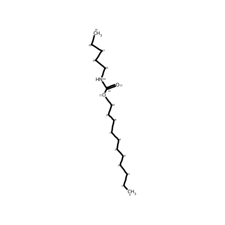 CCCCCCCCCCCOC(=O)NCCCCC